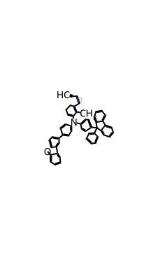 C#C/C=C\C1=C(C)C(N(c2ccc(-c3ccc4oc5ccccc5c4c3)cc2)c2ccc(C3(c4ccccc4)c4ccccc4-c4ccccc43)cc2)=CCC1